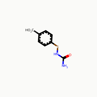 NC(=O)NSc1ccc(C(=O)O)cc1